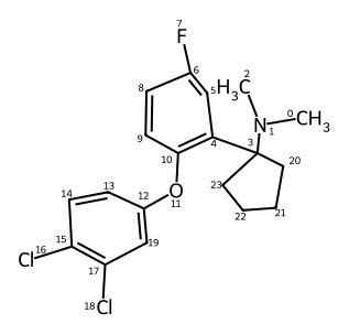 CN(C)C1(c2cc(F)ccc2Oc2ccc(Cl)c(Cl)c2)CCCC1